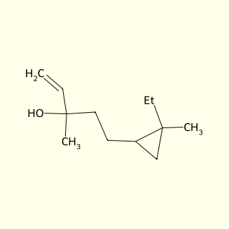 C=CC(C)(O)CCC1CC1(C)CC